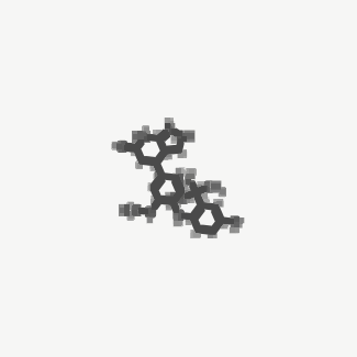 COc1cc(-c2cc(=O)[nH]c3n[nH]cc23)ccc1Oc1ccc(Br)cc1C(C)(C)C